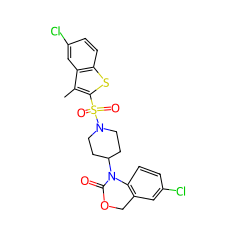 Cc1c(S(=O)(=O)N2CCC(N3C(=O)OCc4cc(Cl)ccc43)CC2)sc2ccc(Cl)cc12